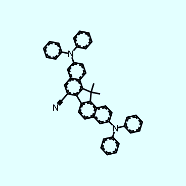 CC1(C)c2c(ccc3cc(N(c4ccccc4)c4ccccc4)ccc23)-c2c(C#N)cc3cc(N(c4ccccc4)c4ccccc4)ccc3c21